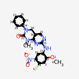 COc1cc(F)c([N+](=O)[O-])cc1Nc1ncc2c(n1)N(C)C(=O)N(c1ccccc1)C2